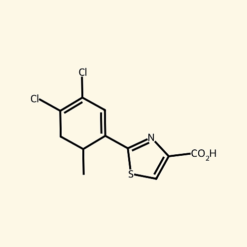 CC1CC(Cl)=C(Cl)C=C1c1nc(C(=O)O)cs1